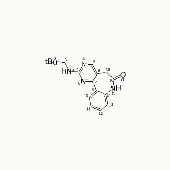 CC(C)(C)CNc1ncc2c(n1)-c1ccccc1NC(=O)C2